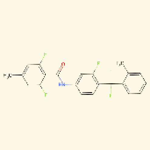 Cc1cc(F)c(C(=O)Nc2ccc(C(F)(F)c3ccccc3C(F)(F)F)c(F)c2)c(F)c1